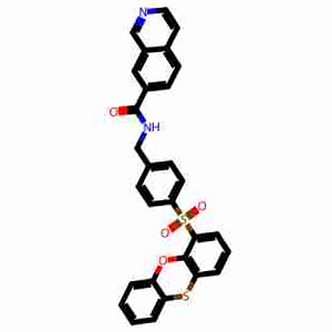 O=C(NCc1ccc(S(=O)(=O)c2cccc3c2Oc2ccccc2S3)cc1)c1ccc2ccncc2c1